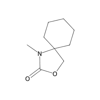 CN1C(=O)OCC12CCCCC2